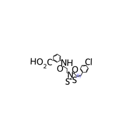 O=C(CCN1C(=O)/C(=C\c2ccc(Cl)cc2)SC1=S)Nc1cccc(C(=O)O)c1